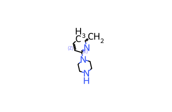 C=C/N=C(\C=C/C)N1CCNCC1